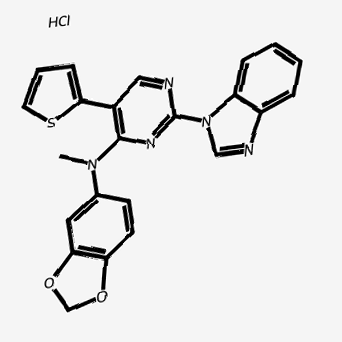 CN(c1ccc2c(c1)OCO2)c1nc(-n2cnc3ccccc32)ncc1-c1cccs1.Cl